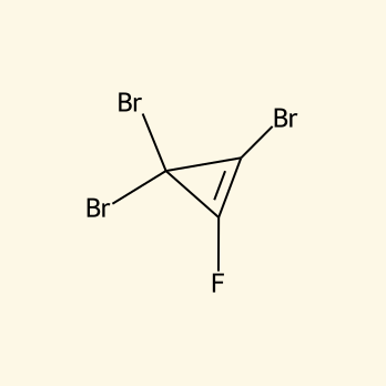 FC1=C(Br)C1(Br)Br